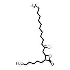 CCCCCCCCCCC[C@@H](O)CC1OC(=O)C1CCCCCC